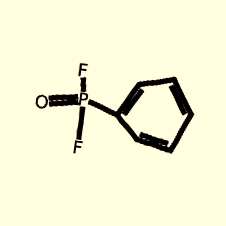 O=P(F)(F)c1ccccc1